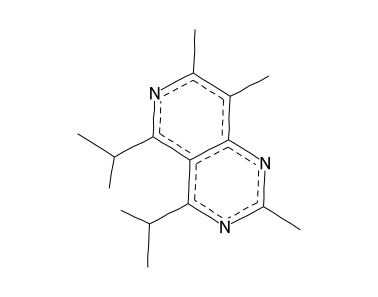 Cc1nc(C(C)C)c2c(C(C)C)nc(C)c(C)c2n1